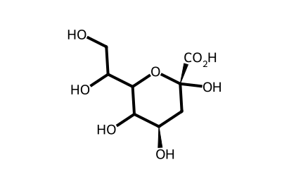 O=C(O)[C@@]1(O)C[C@@H](O)C(O)C(C(O)CO)O1